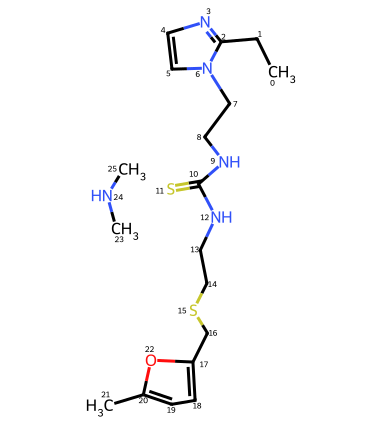 CCc1nccn1CCNC(=S)NCCSCc1ccc(C)o1.CNC